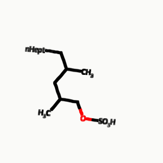 CCCCCCCCC(C)CC(C)COS(=O)(=O)O